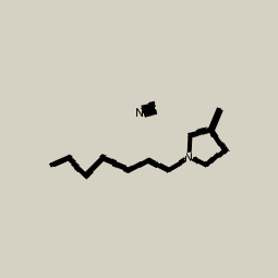 C#N.CCCCCCCN1CCC(C)C1